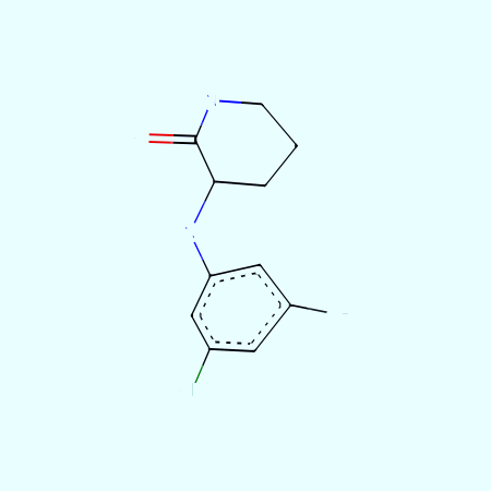 O=C1NCCCC1Nc1cc(Cl)cc(C(F)(F)F)c1